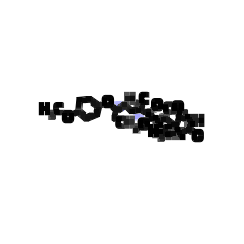 C=C/C(=C\C=C(/C)S(=O)(=O)N[C@H](C)[C@]1(C)NC(=O)NC1=O)Oc1ccc(OC)cc1